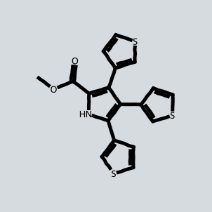 COC(=O)c1[nH]c(-c2ccsc2)c(-c2ccsc2)c1-c1ccsc1